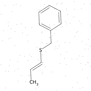 C/C=[C]/SCc1ccccc1